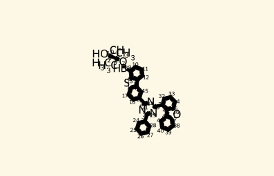 CC(C)(O)C(C)(C)OBc1cccc2c1sc1ccc(-c3nc(-c4ccccc4)nc(-c4cccc5oc6ccccc6c45)n3)cc12